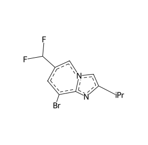 CC(C)c1cn2cc(C(F)F)cc(Br)c2n1